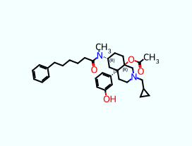 CC(=O)O[C@]12CC[C@@H](N(C)C(=O)CCCCCc3ccccc3)C[C@]1(c1cccc(O)c1)CCN(CC1CC1)C2